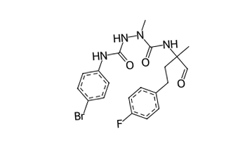 CN(NC(=O)Nc1ccc(Br)cc1)C(=O)NC(C)(C=O)CCc1ccc(F)cc1